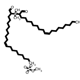 CCCCCCCC/C=C\CCCCCCCCC(C=O)[N+](C)(C)C(C=O)CCCCCCCC/C=C\CCCCCCCC.COS(=O)(=O)[O-]